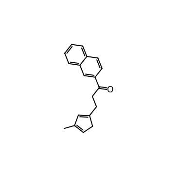 CC1=CCC(CCC(=O)c2ccc3ccccc3c2)=C1